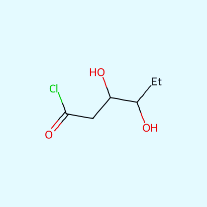 CCC(O)C(O)CC(=O)Cl